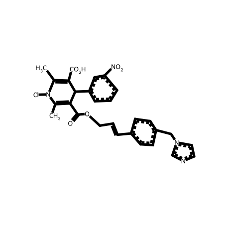 CC1=C(C(=O)O)C(c2cccc([N+](=O)[O-])c2)C(C(=O)OCC=Cc2ccc(Cn3ccnc3)cc2)=C(C)N1Cl